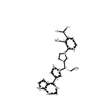 N#CC[C@@H]([C@H]1CCN(c2nccc(C(F)F)c2C#N)C1)n1cc(-c2ncnc3[nH]ccc23)cn1